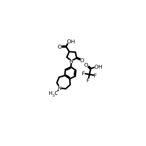 CN1CCc2ccc(N3CC(C(=O)O)CC3=O)cc2CC1.O=C(O)C(F)(F)F